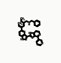 C=C/C(=C\C(=C/C)c1ccc2[nH]nc(-c3nc4c(-c5cccnc5)nccc4[nH]3)c2n1)CNCc1ccccc1